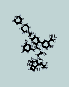 NC(=O)c1cc(-c2cc3sc(N4CCN(c5ccncc5)CC4)nc3nc2[C@H](Cc2cc(F)cc(F)c2)NC(=O)Cn2nc(C(F)(F)F)c3c2C(F)(F)[C@@H]2C=C[C@H]32)ccc1F